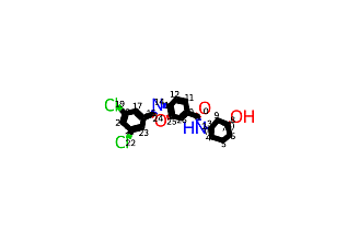 O=C(N[C@@H]1CCC[C@H](O)C1)c1ccc2nc(-c3cc(Cl)cc(Cl)c3)oc2c1